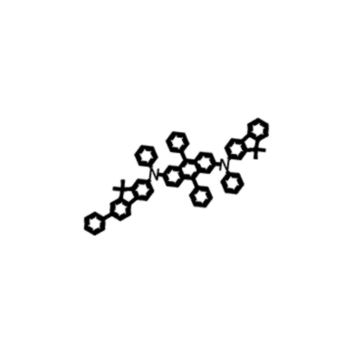 CC1(C)c2ccccc2-c2ccc(N(c3ccccc3)c3ccc4c(-c5ccccc5)c5cc(N(c6ccccc6)c6ccc7c(c6)C(C)(C)c6cc(-c8ccccc8)ccc6-7)ccc5c(-c5ccccc5)c4c3)cc21